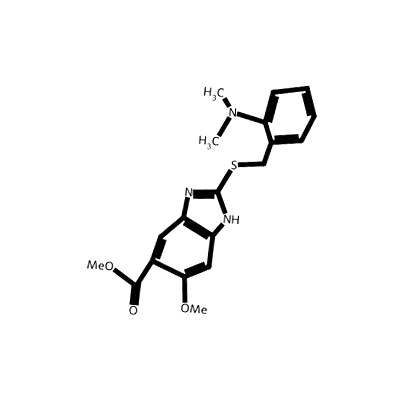 COC(=O)c1cc2nc(SCc3ccccc3N(C)C)[nH]c2cc1OC